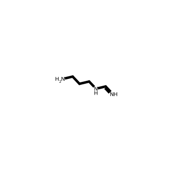 N=CNCCCN